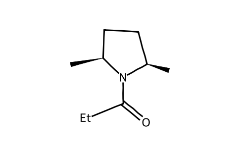 CCC(=O)N1[C@H](C)CC[C@@H]1C